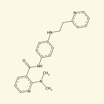 CN(C)c1ncccc1C(=O)Nc1ccc(NCCc2ccccn2)cc1